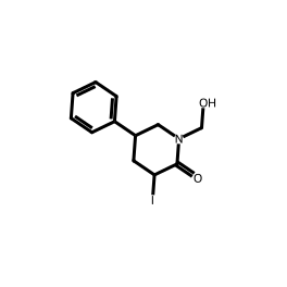 O=C1C(I)CC(c2ccccc2)CN1CO